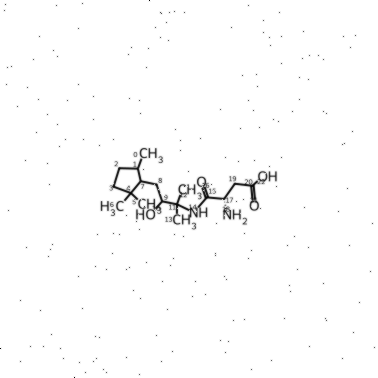 CC1CCC(C)(C)C1CC(O)C(C)(C)NC(=O)[C@@H](N)CC(=O)O